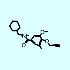 C#CCOc1c(C)cc(C(=O)NCC2CCCCC2)cc1OC